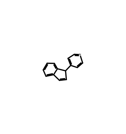 C1=CC(c2ccncc2)c2ccccc21